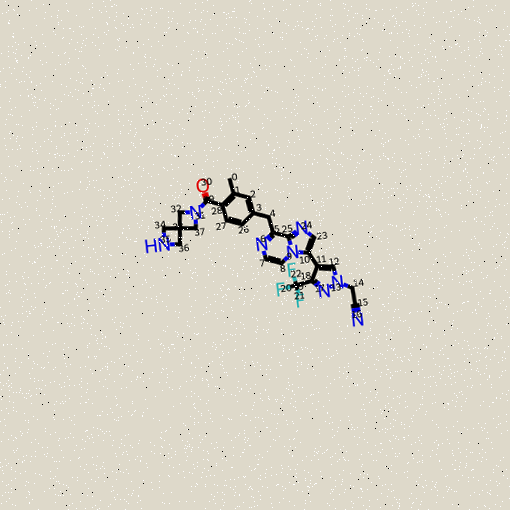 Cc1cc(Cc2nccn3c(-c4cn(CC#N)nc4C(F)(F)F)cnc23)ccc1C(=O)N1CC2(CNC2)C1